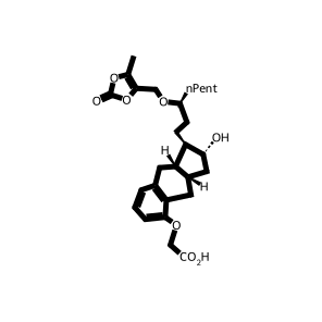 CCCCC[C@@H](CC[C@@H]1[C@H]2Cc3cccc(OCC(=O)O)c3C[C@H]2C[C@H]1O)OCc1oc(=O)oc1C